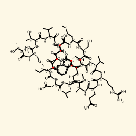 CC[C@H](C)[C@H](NC(=O)CNC(=O)[C@H](CO)NC(=O)[C@@H](NC(=O)[C@@H](NC(=O)[C@H](CS)NC(=O)[C@@H](N)[C@@H](C)O)[C@@H](C)O)C(C)C)C(=O)N[C@@H](CC(=O)O)C(=O)N[C@@H](CC(C)C)C(=O)N[C@@H](CO)C(=O)N[C@@H](CO)C(=O)N[C@@H](CC(N)=O)C(=O)N[C@@H](C)C(=O)N[C@@H](CCSC)C(=O)N[C@@H](CO)C(=O)N[C@@H](Cc1c[nH]c2ccccc12)C(=O)N[C@H](C(=O)N[C@@H](CCCNC(=N)N)C(=O)N[C@@H](CCC(N)=O)C(=O)N[C@@H](C)C(=O)O)C(C)C